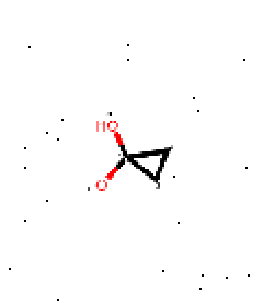 [O]C1(O)CC1